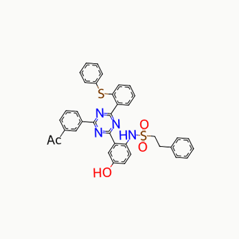 CC(=O)c1cccc(-c2nc(-c3cc(O)ccc3NS(=O)(=O)CCc3ccccc3)nc(-c3ccccc3Sc3ccccc3)n2)c1